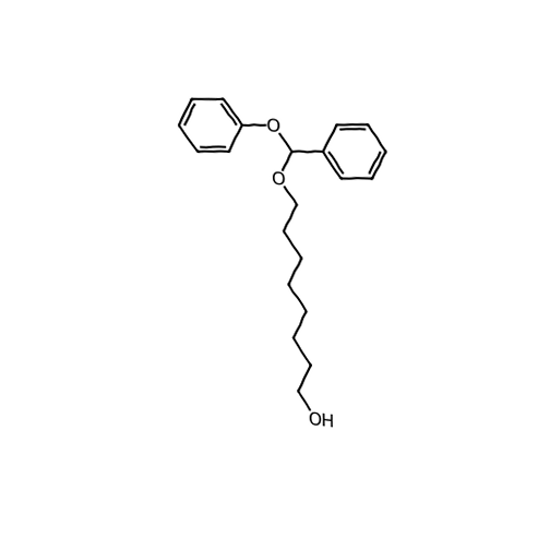 OCCCCCCCCOC(Oc1ccccc1)c1ccccc1